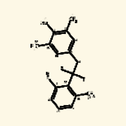 CC(C)(C)c1c(C(F)(F)F)cc(CC(C)(C)c2c(F)cccc2C(F)(F)F)cc1C(F)(F)F